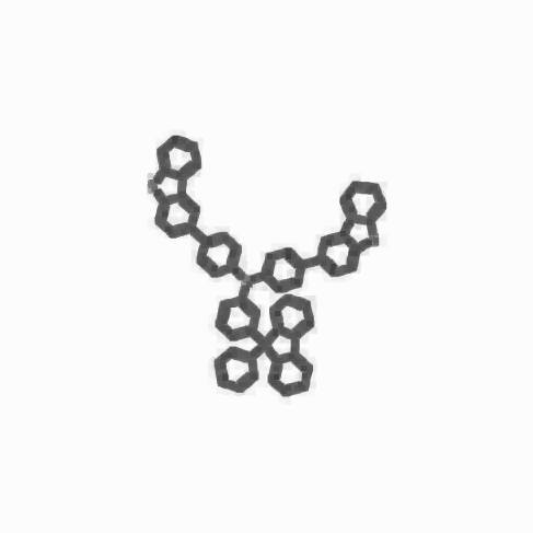 c1ccc(C2(c3cccc(N(c4ccc(-c5ccc6sc7ccccc7c6c5)cc4)c4ccc(-c5ccc6sc7ccccc7c6c5)cc4)c3)c3ccccc3-c3ccccc32)cc1